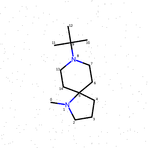 CN1CCCC12CCN(C(C)(C)C)CC2